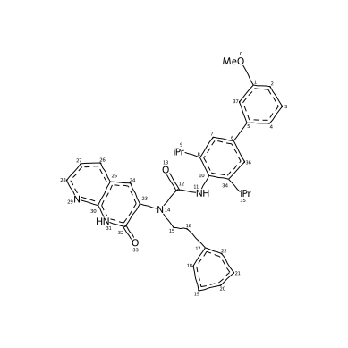 COc1cccc(-c2cc(C(C)C)c(NC(=O)N(CCc3ccccc3)c3cc4cccnc4[nH]c3=O)c(C(C)C)c2)c1